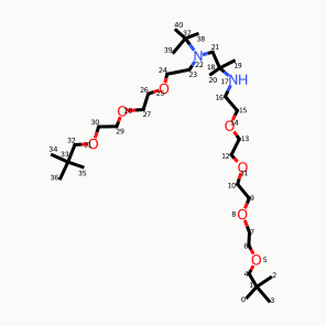 CC(C)(C)COCCOCCOCCOCCNC(C)(C)CN(CCOCCOCCOCC(C)(C)C)C(C)(C)C